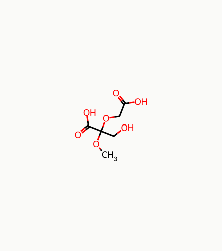 COC(CO)(OCC(=O)O)C(=O)O